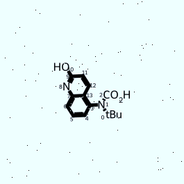 CC(C)(C)N(C(=O)O)c1cccc2nc(O)ccc12